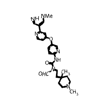 CN/C=C(\C=N)c1cc(Oc2ccc(NC(=O)N(C=O)CCC3(C)CCN(C)CC3)nc2)ccn1